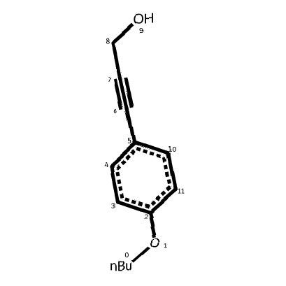 CCCCOc1ccc(C#CCO)cc1